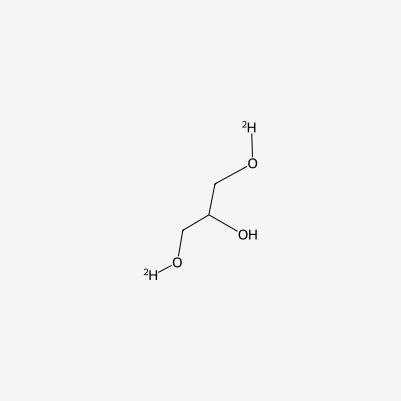 [2H]OCC(O)CO[2H]